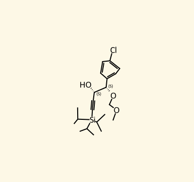 COCO[C@@H](c1ccc(Cl)cc1)[C@@H](O)C#C[Si](C(C)C)(C(C)C)C(C)C